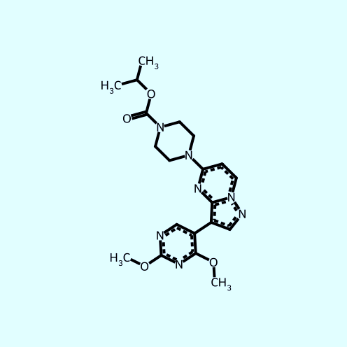 COc1ncc(-c2cnn3ccc(N4CCN(C(=O)OC(C)C)CC4)nc23)c(OC)n1